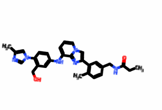 CCC(=O)NCc1ccc(C)c(-c2cn3cccc(Nc4ccc(-n5cnc(C)c5)c(CO)c4)c3n2)c1